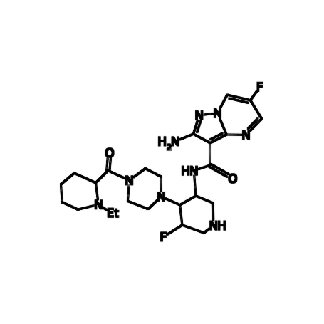 CCN1CCCCC1C(=O)N1CCN(C2C(F)CNCC2NC(=O)c2c(N)nn3cc(F)cnc23)CC1